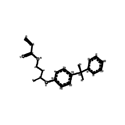 C=CC(=O)OCCC(C)Oc1ccc(C(C)(C)c2ccccc2)cc1